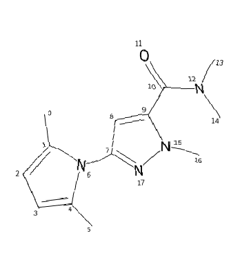 Cc1ccc(C)n1-c1cc(C(=O)N(C)C)n(C)n1